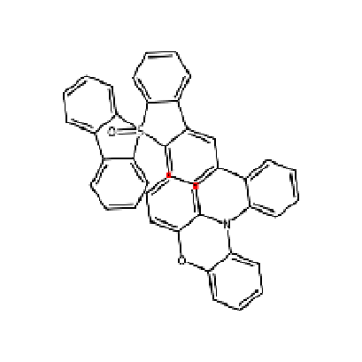 O=S12(c3ccccc3-c3ccccc31)c1ccccc1-c1cc(-c3ccccc3N3c4ccccc4Oc4ccccc43)ccc12